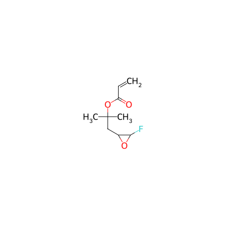 C=CC(=O)OC(C)(C)CC1OC1F